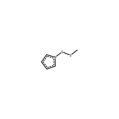 CSSn1cccc1